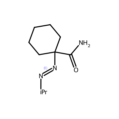 CC(C)/N=N/C1(C(N)=O)CCCCC1